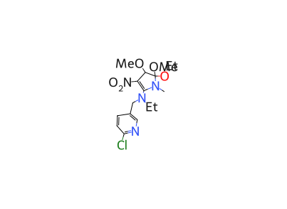 CCOC1(OC)C(OC)C([N+](=O)[O-])=C(N(CC)Cc2ccc(Cl)nc2)N1C